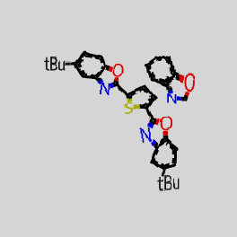 CC(C)(C)c1ccc2oc(-c3ccc(-c4nc5cc(C(C)(C)C)ccc5o4)s3)nc2c1.c1ccc2ocnc2c1